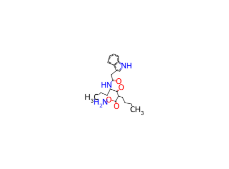 CCCCC(C(=O)ON)C(=O)C(CCC)NC(=O)Cc1c[nH]c2ccccc12